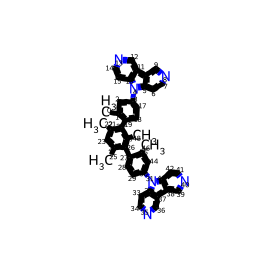 Cc1cc(-n2c3ccncc3c3cnccc32)ccc1-c1c(C)cc(C)c(-c2ccc(-n3c4ccncc4c4cnccc43)cc2C)c1C